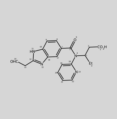 CCC(CC(=O)O)N(C(=O)c1ccc2[nH]c(CC=O)nc2c1)c1ccccn1